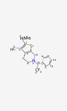 CNc1sc2c(c1C#N)CCN(C(c1ccccc1)C(F)(F)F)C2